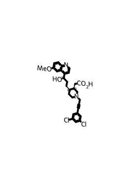 COc1ccc2nccc([C@H](O)CC[C@@H]3CCN(CC#Cc4cc(Cl)cc(Cl)c4)C[C@@H]3CC(=O)O)c2c1